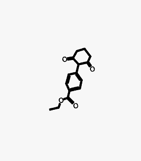 CCOC(=O)c1ccc(C2C(=O)CCCC2=O)cc1